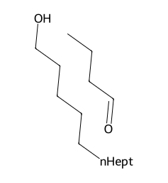 CCCC=O.CCCCCCCCCCCCO